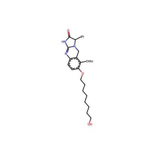 COc1c(OCCCCCCCCO)ccc2c1CN1C(=N2)NC(=O)C1C(C)C